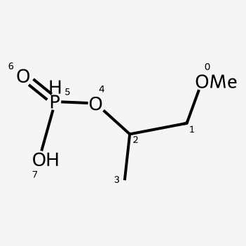 COCC(C)O[PH](=O)O